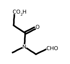 CN(CC=O)C(=O)CC(=O)O